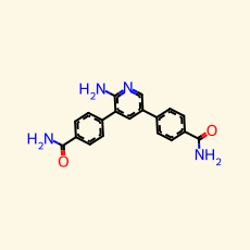 NC(=O)c1ccc(-c2cnc(N)c(-c3ccc(C(N)=O)cc3)c2)cc1